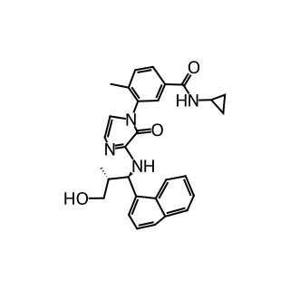 Cc1ccc(C(=O)NC2CC2)cc1-n1ccnc(N[C@@H](c2cccc3ccccc23)[C@@H](C)CO)c1=O